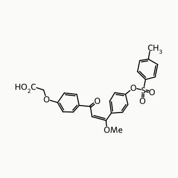 COC(=CC(=O)c1ccc(OCC(=O)O)cc1)c1ccc(OS(=O)(=O)c2ccc(C)cc2)cc1